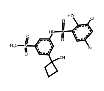 CS(=O)(=O)c1cc(NS(=O)(=O)c2cc(Br)cc(Cl)c2O)cc(C2(C#N)CCC2)c1